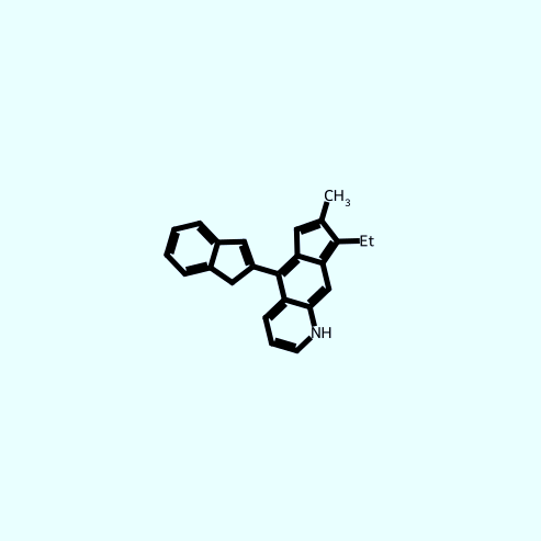 CCc1c(C)cc2c(C3=Cc4ccccc4C3)c3ccc[nH]c3cc12